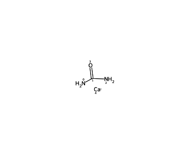 NC(N)=O.[Ca]